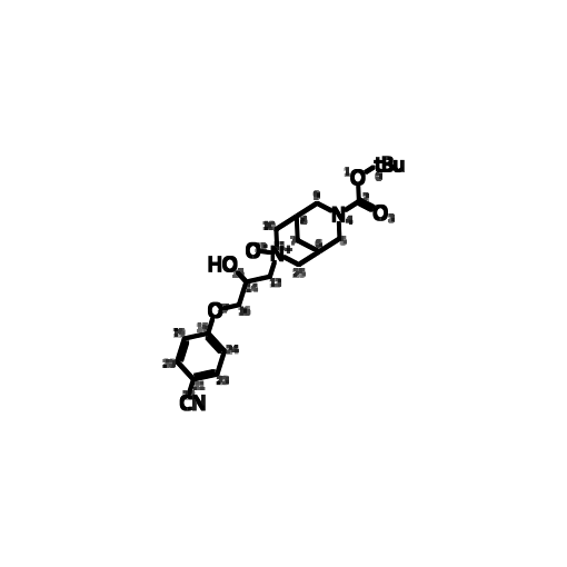 CC(C)(C)OC(=O)N1CC2CC(C1)C[N+]([O-])(CC(O)COc1ccc(C#N)cc1)C2